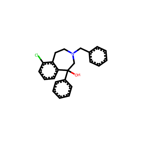 OC1(c2ccccc2)CN(Cc2ccccc2)CCc2c(Cl)cccc21